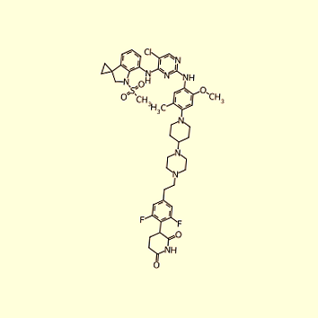 COc1cc(N2CCC(N3CCN(CCc4cc(F)c(C5CCC(=O)NC5=O)c(F)c4)CC3)CC2)c(C)cc1Nc1ncc(Cl)c(Nc2cccc3c2N(S(C)(=O)=O)CC32CC2)n1